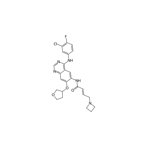 O=C(C=CCN1CCC1)Nc1cc2c(Nc3ccc(F)c(Cl)c3)ncnc2cc1OC1CCOC1